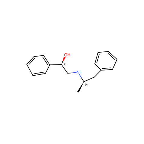 C[C@H](Cc1ccccc1)NC[C@H](O)c1ccccc1